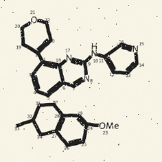 C1=C(c2cccc3cnc(Nc4cccnc4)nc23)CCOC1.COc1ccc2c(c1)CCC(C)C2